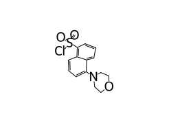 O=S(=O)(Cl)c1cccc2c(N3CCOCC3)cccc12